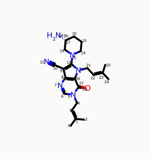 CC(C)=CCn1cnc2c(C#N)c(N3CCC[C@@H](N)C3)n(CC=C(C)C)c2c1=O